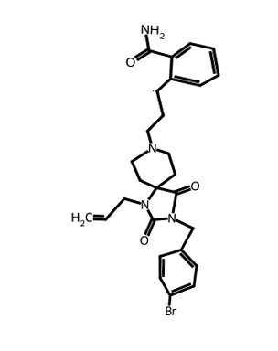 C=CCN1C(=O)N(Cc2ccc(Br)cc2)C(=O)C12CCN(CC[CH]c1ccccc1C(N)=O)CC2